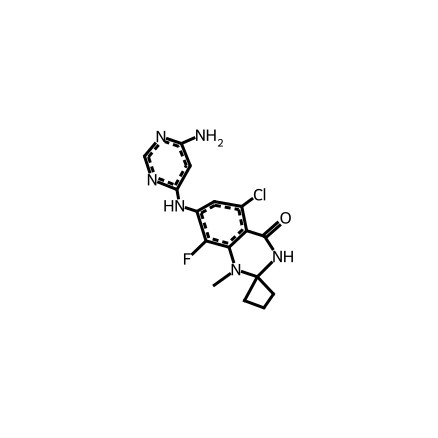 CN1c2c(F)c(Nc3cc(N)ncn3)cc(Cl)c2C(=O)NC12CCC2